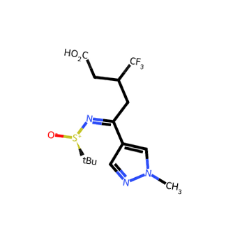 Cn1cc(C(CC(CC(=O)O)C(F)(F)F)=N[S@+]([O-])C(C)(C)C)cn1